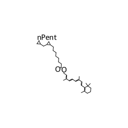 CCCCCC1CC1CC1CC1CCCCCCCC(=O)OCC=C(C)C=CC=C(C)C=CC1=C(C)CCCC1(C)C